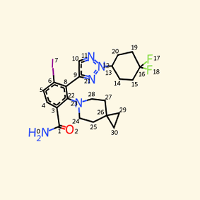 NC(=O)c1ccc(I)c(-c2cnn(C3CCC(F)(F)CC3)n2)c1N1CCC2(CC1)CC2